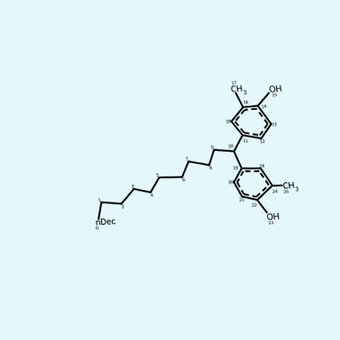 CCCCCCCCCCCCCCCCCCCC(c1ccc(O)c(C)c1)c1ccc(O)c(C)c1